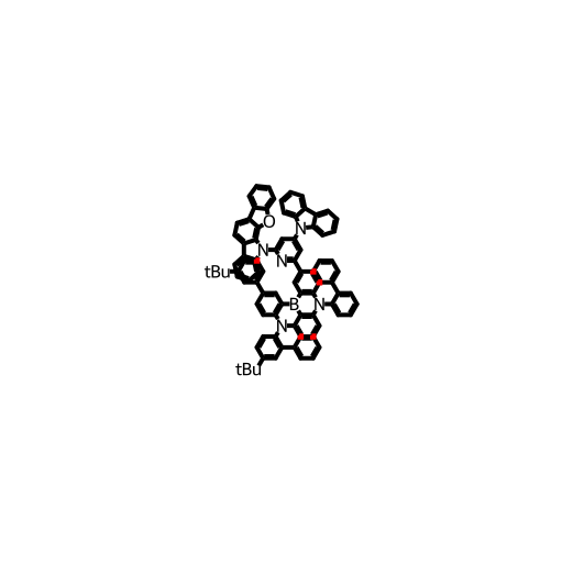 CC(C)(C)c1cccc(-c2ccc3c(c2)B2c4cc(-c5cc(-n6c7ccccc7c7ccccc76)cc(-n6c7ccccc7c7ccc8c9ccccc9oc8c76)n5)ccc4N(c4ccccc4-c4ccccc4)c4cccc(c42)N3c2ccc(C(C)(C)C)cc2-c2ccccc2)c1